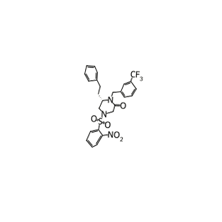 O=C1CN(S(=O)(=O)c2ccccc2[N+](=O)[O-])C[C@H](CCc2ccccc2)N1Cc1cccc(C(F)(F)F)c1